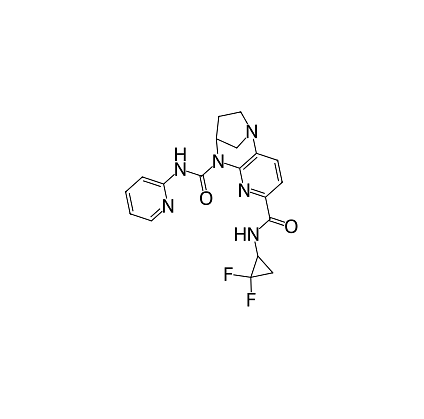 O=C(NC1CC1(F)F)c1ccc2c(n1)N(C(=O)Nc1ccccn1)C1CCN2C1